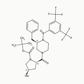 CC(C)(C)OC(=O)N1C[C@H](O)C[C@@H]1C(=O)N1CCN(C(=O)c2cc(C(F)(F)F)cc(C(F)(F)F)c2)[C@H](Cc2ccccc2)C1